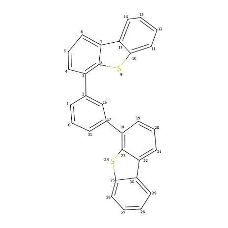 c1cc(-c2cccc3c2sc2ccccc23)cc(-c2cccc3c2sc2ccccc23)c1